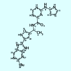 CC(NC(=O)c1cc(Nc2nccs2)ncn1)c1cc(-c2nc3cnc(C(C)(C)C)nc3[nH]2)no1